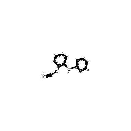 C#CSc1ccc[c]c1Oc1ccccc1